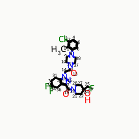 Cc1c(Cl)cccc1N1CCN(C(=O)Cn2nc(C(=O)N3CCC(O)(CF)CC3)c3c2CCC(F)(F)C3)CC1